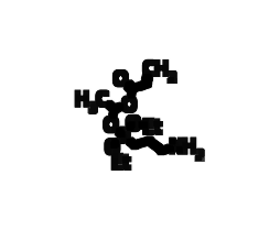 C=CC(=O)OC(C)O[Si](CCCN)(OCC)OCC